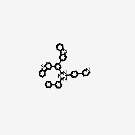 c1ccc(-c2cccc(-c3nc(-c4ccc(-c5cccnc5)cc4)nc(-c4cc(-c5ccc6sc7ccccc7c6c5)cc(-c5ccc6sc7ccccc7c6c5)c4)n3)c2)cc1